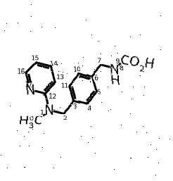 CN(Cc1ccc(CNC(=O)O)cc1)c1ccccn1